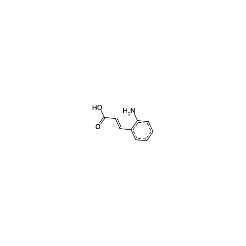 Nc1ccccc1/C=C/C(=O)O